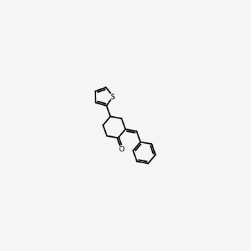 O=C1CCC(c2cccs2)C/C1=C/c1ccccc1